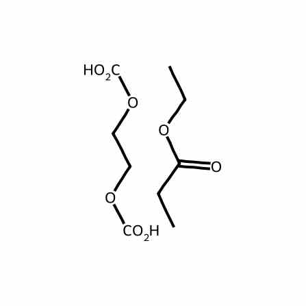 CCOC(=O)CC.O=C(O)OCCOC(=O)O